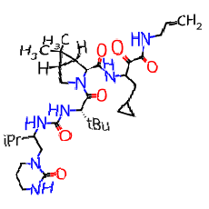 C=CCNC(=O)C(=O)C(CC1CC1)NC(=O)[C@@H]1[C@@H]2[C@H](CN1C(=O)[C@@H](NC(=O)NC(CN1CCCNC1=O)C(C)C)C(C)(C)C)C2(C)C